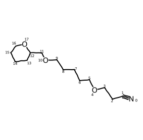 N#CCCOCCCCCOCC1CCCCO1